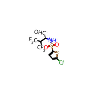 O=C[C@@H](NS(=O)(=O)c1ccc(Cl)s1)C(C(F)(F)F)C(F)(F)F